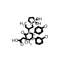 CCC(CN1CCCS1(O)O)N1C(=O)[C@@](C)(CC(=O)O)C[C@H](c2cccc(Cl)c2)[C@H]1c1ccc(Cl)cc1